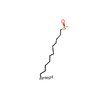 CCCCCCCCCCCCCCCCCC[S+]=O